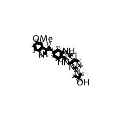 COc1ccc2c(c1)[C@@]1(C=N2)C[C@H]1c1ccc2c(Nc3nc(N4CC(O)C4)ncc3Cl)n[nH]c2c1